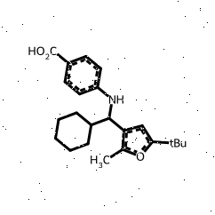 Cc1oc(C(C)(C)C)cc1C(Nc1ccc(C(=O)O)cc1)C1CCCCC1